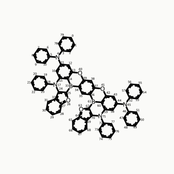 c1ccc(N(c2ccccc2)c2cc3c4c(c2)N(c2ccccc2)c2c(oc5ccccc25)B4c2cc4c(cc2O3)Oc2cc(N(c3ccccc3)c3ccccc3)cc3c2B4c2oc4ccccc4c2N3c2ccccc2)cc1